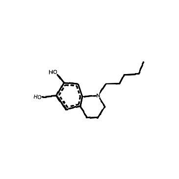 CCCCCN1CCCc2cc(O)c(O)cc21